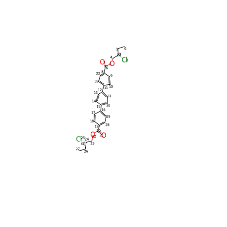 CC[C@H](Cl)COC(=O)c1ccc(-c2ccc(-c3ccc(C(=O)OC[C@@H](Cl)CC)cc3)cc2)cc1